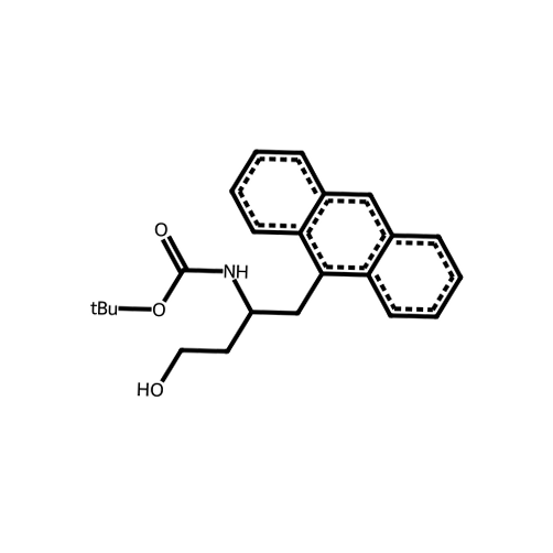 CC(C)(C)OC(=O)NC(CCO)Cc1c2ccccc2cc2ccccc12